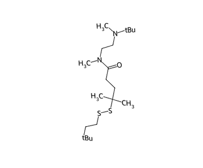 CN(CCN(C)C(C)(C)C)C(=O)CCC(C)(C)SSCCC(C)(C)C